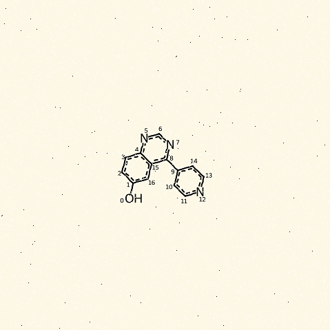 Oc1ccc2ncnc(-c3ccncc3)c2c1